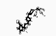 CC(=O)NC(C)(C)C(=O)N1CC(F)(c2ccc(C3=NOC(c4cc(Cl)c(F)c(Cl)c4)(C(F)(F)F)C3)cc2)C1